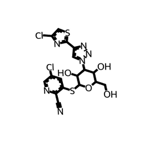 N#Cc1ncc(Cl)cc1SC1OC(CO)C(O)C(n2cc(-c3nc(Cl)cs3)nn2)C1O